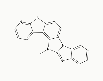 Cn1c2c3c(ccc2n2c4ccccc4nc12)sc1ncccc13